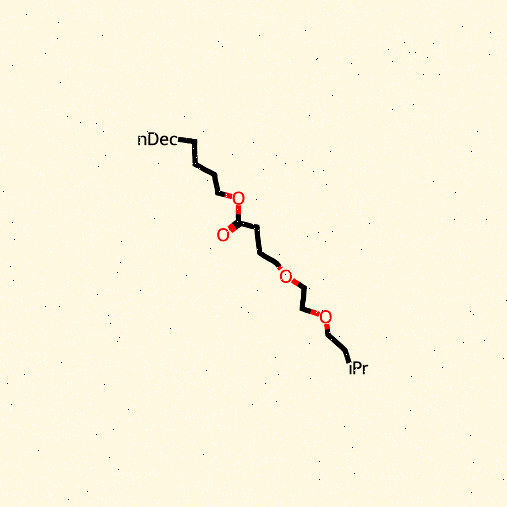 CCCCCCCCCCCCCCOC(=O)CCCOCCOCCC(C)C